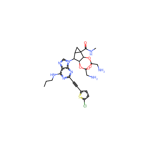 CCCNc1nc(C#Cc2ccc(Cl)s2)nc2c1ncn2C1C2CC2(C(=O)NC)C(OC(=O)CN)[C@H]1OC(=O)CN